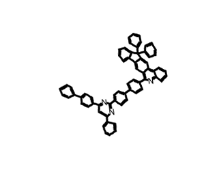 c1ccc(-c2ccc(-c3cc(-c4ccccc4)nc(-c4ccc(-c5ccc(-c6nc7ccccc7c7cc8c(cc67)-c6ccccc6C8(c6ccccc6)c6ccccc6)cc5)cc4)n3)cc2)cc1